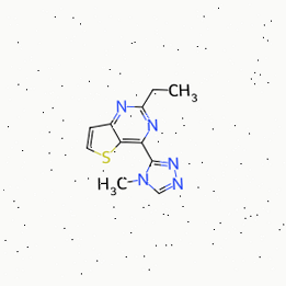 CCc1nc(-c2nncn2C)c2sccc2n1